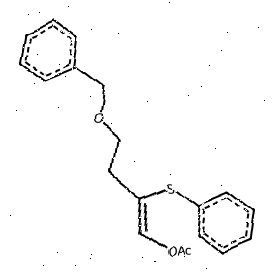 CC(=O)OC=C(CCOCc1ccccc1)Sc1ccccc1